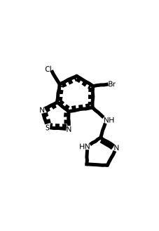 Clc1cc(Br)c(NC2=NCCN2)c2nsnc12